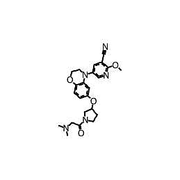 COc1ncc(N2CCOc3ccc(OC4CCN(C(=O)CN(C)C)C4)cc32)cc1C#N